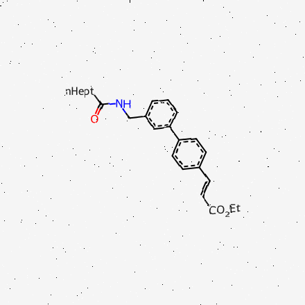 CCCCCCCC(=O)NCc1cccc(-c2ccc(C=CC(=O)OCC)cc2)c1